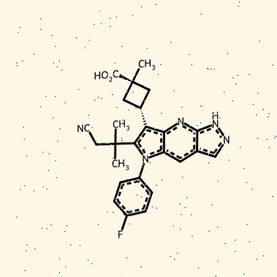 CC(C)(CC#N)c1c([C@H]2C[C@](C)(C(=O)O)C2)c2nc3[nH]ncc3cc2n1-c1ccc(F)cc1